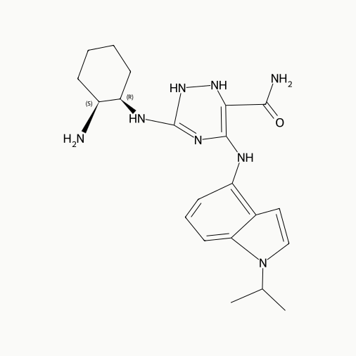 CC(C)n1ccc2c(NC3=C(C(N)=O)NNC(N[C@@H]4CCCC[C@@H]4N)=N3)cccc21